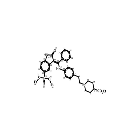 CCOC(=O)C1CCN(CCc2ccc(NC(=C3C(=O)Nc4ccc(P(=O)(OCC)OCC)cc43)c3ccccc3)cc2)CC1